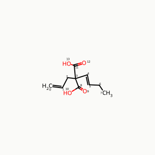 C=CCC(/C=C/CC)(C(=O)O)C(=O)O